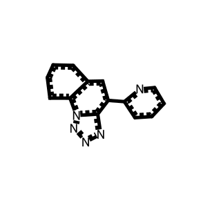 c1ccc(-c2cc3ccccc3n3nnnc23)nc1